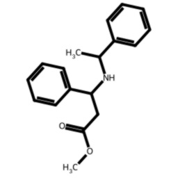 COC(=O)CC(NC(C)c1ccccc1)c1ccccc1